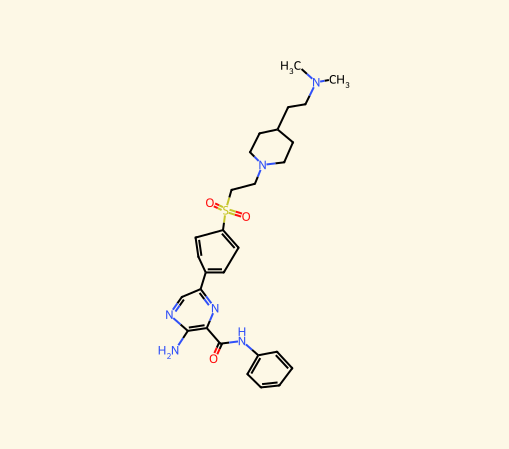 CN(C)CCC1CCN(CCS(=O)(=O)c2ccc(-c3cnc(N)c(C(=O)Nc4ccccc4)n3)cc2)CC1